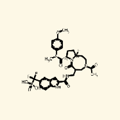 COc1ccc(N(C)C(=O)[C@@H]2CC[C@@H]3CCN(C(C)=O)CC(CNC(=O)c4cc5cc(C(F)(F)P(=O)(O)O)ccc5[nH]4)C(=O)N32)cc1